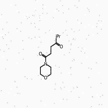 CC(C)C(=O)CCC(=O)N1CCOCC1